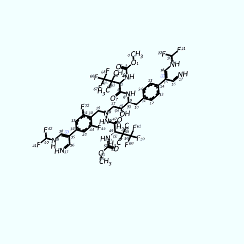 COC(=O)NC(C(=O)N[C@@H](Cc1ccc(/C(C=N)=C/NC(F)F)cc1)[C@@H](O)CN(Cc1c(F)cc(/C(C=N)=C/NC(F)F)cc1F)NC(=O)[C@@H](NC(=O)OC)C(C)(C)C(F)(F)F)C(C)(C)C(F)(F)F